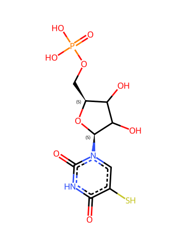 O=c1[nH]c(=O)n([C@H]2O[C@@H](COP(=O)(O)O)C(O)C2O)cc1S